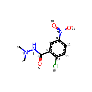 CN(C)NC(=O)c1cc([N+](=O)[O-])ccc1Cl